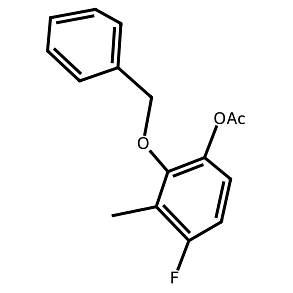 CC(=O)Oc1ccc(F)c(C)c1OCc1ccccc1